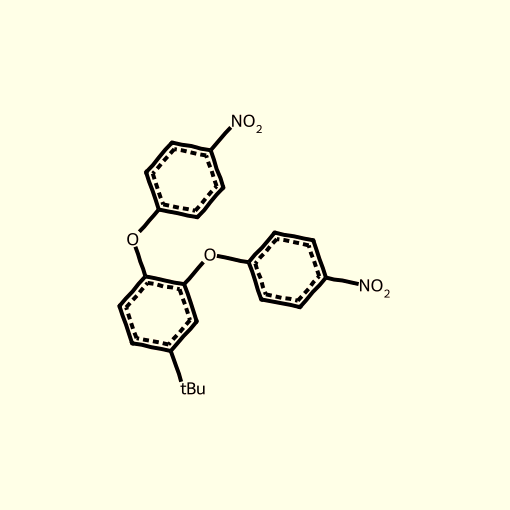 CC(C)(C)c1ccc(Oc2ccc([N+](=O)[O-])cc2)c(Oc2ccc([N+](=O)[O-])cc2)c1